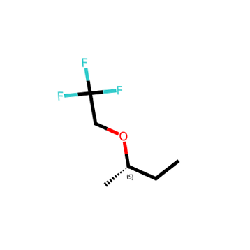 CC[C@H](C)OCC(F)(F)F